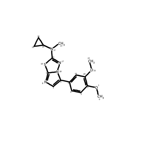 COc1ccc(-c2cnc3sc(N(C)C4CC4)nn23)cc1OC